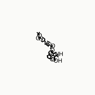 CC1=C(C(=O)O)C(c2c(Cl)cccc2Cl)C(C(=O)OCC(=O)N2CCN(C3CCN(C(=O)OC(C)(C)C)CC3)CC2)=CN1